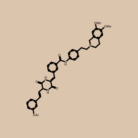 COc1cc2c(cc1OC)CN(CCc1ccc(NC(=O)c3cccc(C=C4NC(=O)C(C=Cc5cccc(OC(C)=O)c5)NC4=O)c3)cc1)CC2